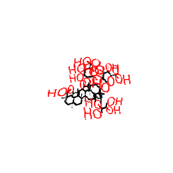 CC1(C)[C@@H](O[C@H]2O[C@H](C(=O)O)[C@@H](O)[C@H](O)[C@H]2O[C@@H]2O[C@H](C(=O)O)[C@@H](O)[C@H](O)[C@H]2O)CC[C@]2(C)[C@H]3C(=O)C=C4[C@@H]5C[C@@](C)(C(=O)O)CC[C@]5(C)CC[C@@]4(C)[C@]3(C)CC[C@@H]12.OCC(O)C(O)CO